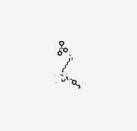 CC/C(=C(\c1ccccc1)c1ccc(OCCN(C)C(=O)CCCCCCC(=O)NC(C(=O)N2C[C@H](O)C[C@H]2C(=O)NCc2ccc(-c3scnc3C)cc2)C(C)(C)C)cc1)c1ccccc1